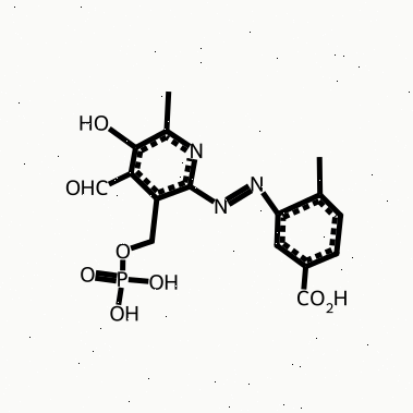 Cc1ccc(C(=O)O)cc1N=Nc1nc(C)c(O)c(C=O)c1COP(=O)(O)O